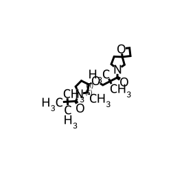 C[C@H]1[C@H](OCC(C)(C)C(=O)N2CCC3(CCO3)C2)CCN1C(=O)C(C)(C)C